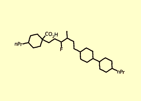 CCCC1CCC(C2CCC(CCC(C)C(F)CCC3(C(=O)O)CCC(CCC)CC3)CC2)CC1